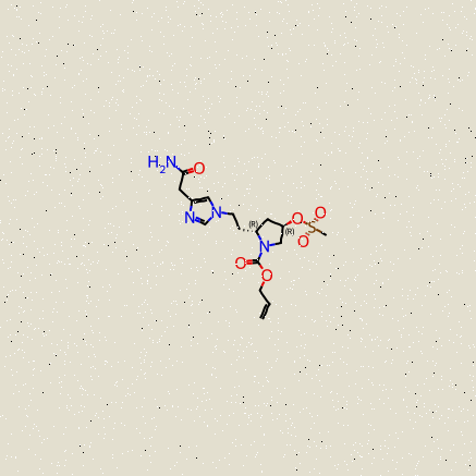 C=CCOC(=O)N1C[C@H](OS(C)(=O)=O)C[C@H]1CCn1cnc(CC(N)=O)c1